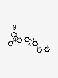 CC1(C)c2cc(-c3cccc(-c4cccnc4)c3)ccc2Oc2ccc(-c3ccc4c(c3)c3cc(C#N)ccc3n4-c3ccccc3)cc21